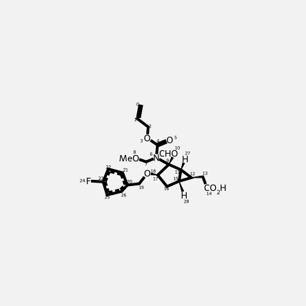 C=CCOC(=O)N(COC)[C@]1(C=O)[C@@H]2[C@@H](CC(=O)O)[C@@H]2C[C@H]1OCc1ccc(F)cc1